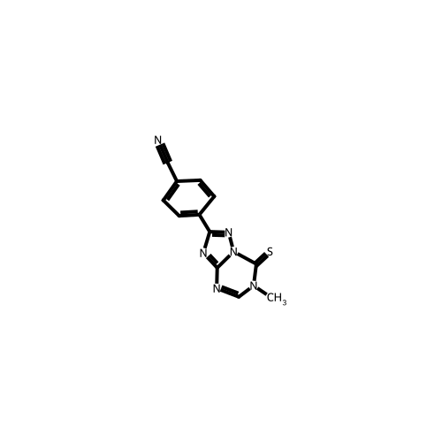 Cn1cnc2nc(-c3ccc(C#N)cc3)nn2c1=S